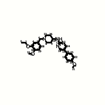 CCOc1cc(CN2CCC(Nc3ncc(-c4ccc(OC)cc4)cn3)CC2)ccc1OC